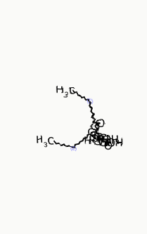 CCCCCCCC/C=C\CCCCCCCC(=O)OCC(COP(=O)(O)OP(=O)(O)O)OC(=O)CCCCCCC/C=C\CCCCCCCC